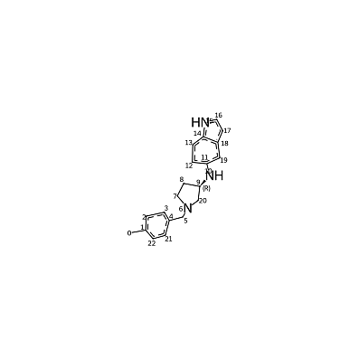 Cc1ccc(CN2CC[C@@H](Nc3ccc4[nH]ccc4c3)C2)cc1